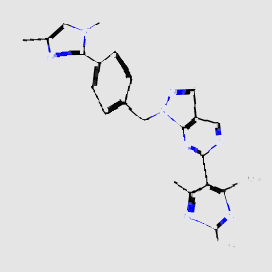 COc1nc(C)c(-c2ncc3cnn(Cc4ccc(-c5nc(C(F)(F)F)cn5C)cc4)c3n2)c(OC)n1